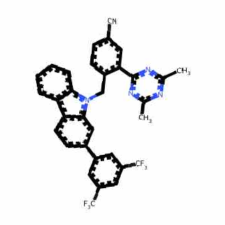 Cc1nc(C)nc(-c2cc(C#N)ccc2Cn2c3ccccc3c3ccc(-c4cc(C(F)(F)F)cc(C(F)(F)F)c4)cc32)n1